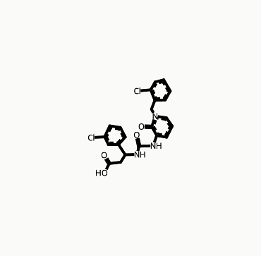 O=C(O)CC(NC(=O)Nc1cccn(Cc2ccccc2Cl)c1=O)c1cccc(Cl)c1